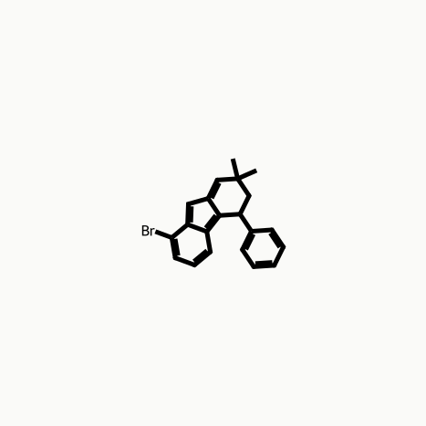 CC1(C)C=C2C=c3c(Br)cccc3=C2C(c2ccccc2)C1